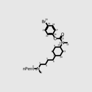 CCCCCN(C)CCCCC1CCC(N(C)C(=O)Oc2ccc(Br)cc2)CC1